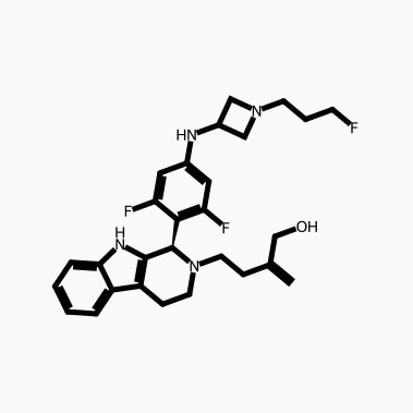 C=C(CO)CCN1CCc2c([nH]c3ccccc23)[C@H]1c1c(F)cc(NC2CN(CCCF)C2)cc1F